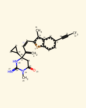 C=C(/C=C\c1sc2ccc(C#CC(F)(F)F)cc2c1C)[C@]1(C2CC2)CC(=O)N(C)C(=N)N1